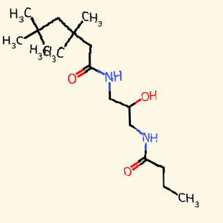 CCCC(=O)NCC(O)CNC(=O)CC(C)(C)CC(C)(C)C